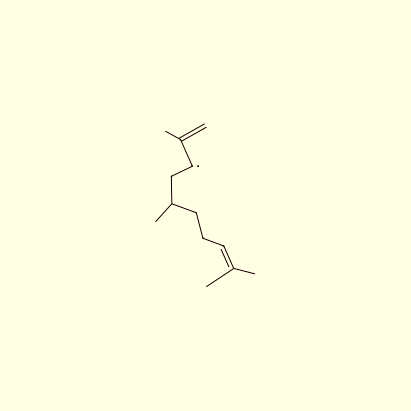 C=C(C)[CH]CC(C)CCC=C(C)C